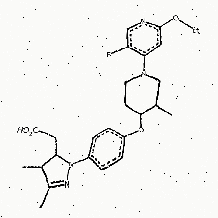 CCOc1cc(N2CCC(Oc3ccc(N4N=C(C)C(C)C4CC(=O)O)cc3)C(C)C2)c(F)cn1